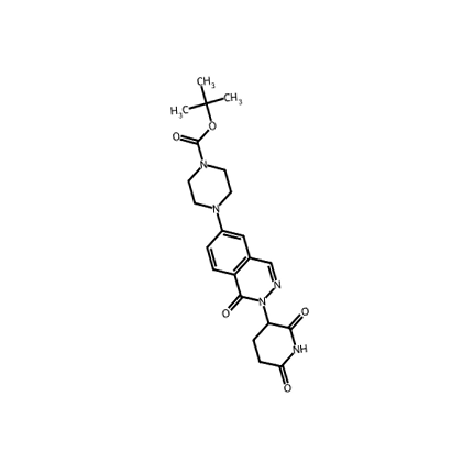 CC(C)(C)OC(=O)N1CCN(c2ccc3c(=O)n(C4CCC(=O)NC4=O)ncc3c2)CC1